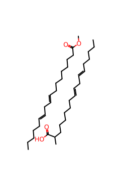 CCCCCC=CCC=CCCCCCCC(C)C(=O)O.CCCCCC=CCC=CCCCCCCCC(=O)OC